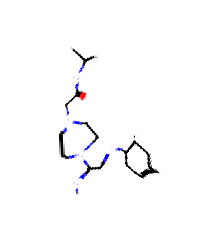 C/N=C(\C=NC1CC=CC[C@@H]1C)N1CCN(CC(=O)NC(C)C)CC1